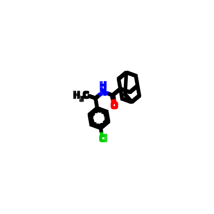 CC(NC(=O)C12CC3CC(CC(C3)C1)C2)c1ccc(Cl)cc1